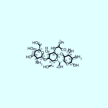 CCCC(N[C@H]1[C@H](OC2[C@@H](CO)O[C@@H](O)[C@H](N)[C@H]2O)O[C@H](CO)C(O[C@@H]2O[C@H](CO)[C@@H](O)[C@H](O)[C@H]2N)[C@@H]1O)C(=O)O